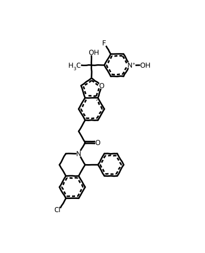 CC(O)(c1cc2cc(CC(=O)N3CCc4cc(Cl)ccc4C3c3ccccc3)ccc2o1)c1cc[n+](O)cc1F